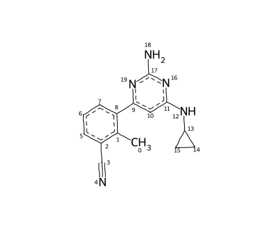 Cc1c(C#N)cccc1-c1cc(NC2CC2)nc(N)n1